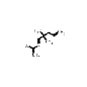 C=CCC(C)(C)C=NC(C)C